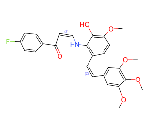 COc1ccc(/C=C\c2cc(OC)c(OC)c(OC)c2)c(N/C=C\C(=O)c2ccc(F)cc2)c1O